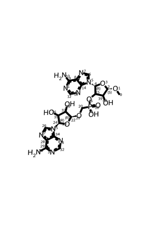 CO[C@H]1O[C@@H](n2cnc3c(N)ncnc32)C(OP(=O)(O)CO[C@H]2O[C@@H](n3cnc4c(N)ncnc43)C(O)C2O)C1O